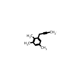 [CH2]C#CCc1cc(C)cc(C)c1C